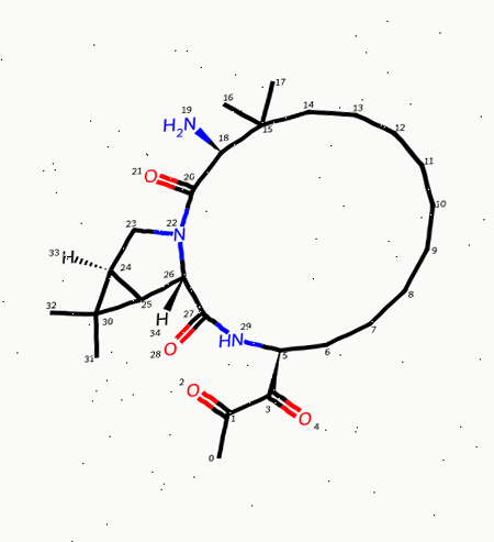 CC(=O)C(=O)[C@@H]1CCCCCCCCCC(C)(C)[C@H](N)C(=O)N2C[C@H]3C([C@H]2C(=O)N1)C3(C)C